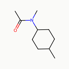 CC(=O)N(C)C1CCC(C)CC1